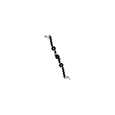 CCCCCCCCC[C@H]1CC[C@H](CCCOc2ccc(OCCC[C@H]3CC[C@H](CCCCCCCCC)CC3)cc2)CC1